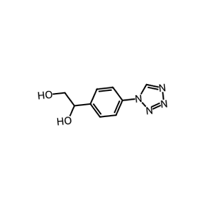 OCC(O)c1ccc(-n2cnnn2)cc1